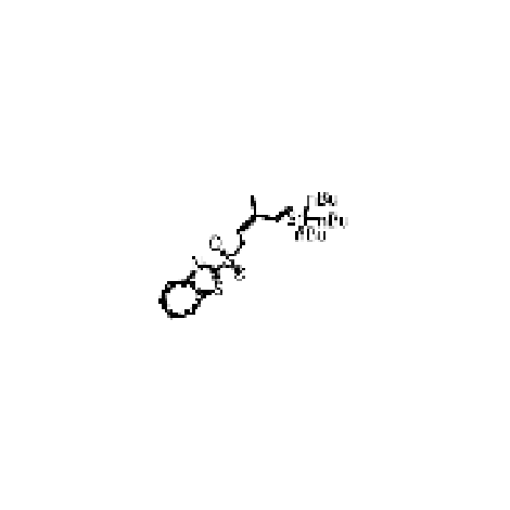 CCC[CH2][Sn]([CH]=CC(C)=CCS(=O)(=O)c1nc2ccccc2s1)([CH2]CCC)[CH2]CCC